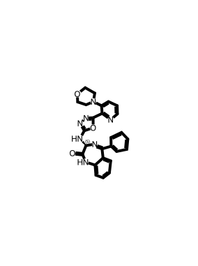 O=C1Nc2ccccc2C(c2ccccc2)=N[C@@H]1Nc1nnc(-c2ncccc2N2CCOCC2)o1